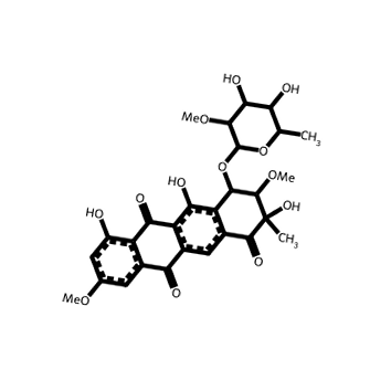 COc1cc(O)c2c(c1)C(=O)c1cc3c(c(O)c1C2=O)C(OC1OC(C)C(O)C(O)C1OC)C(OC)C(C)(O)C3=O